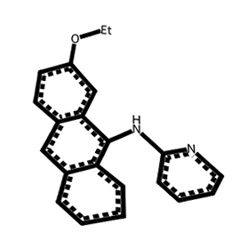 CCOc1ccc2cc3ccccc3c(Nc3ccccn3)c2c1